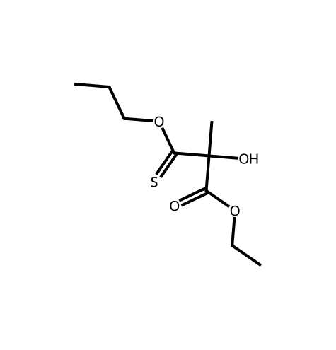 CCCOC(=S)C(C)(O)C(=O)OCC